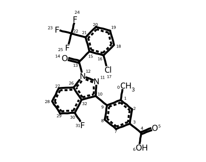 Cc1cc(C(=O)O)ccc1-c1nn(C(=O)c2c(Cl)cccc2C(F)(F)F)c2cccc(F)c12